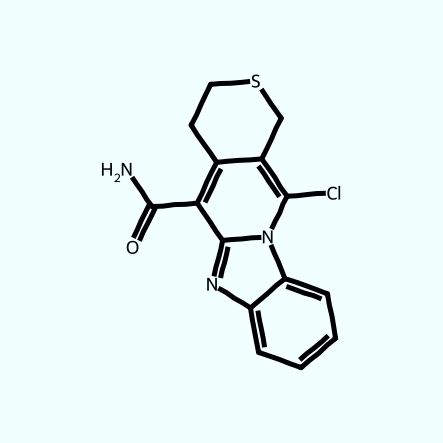 NC(=O)c1c2c(c(Cl)n3c1nc1ccccc13)CSCC2